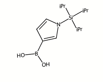 CC(C)[Si](C(C)C)(C(C)C)n1ccc(B(O)O)c1